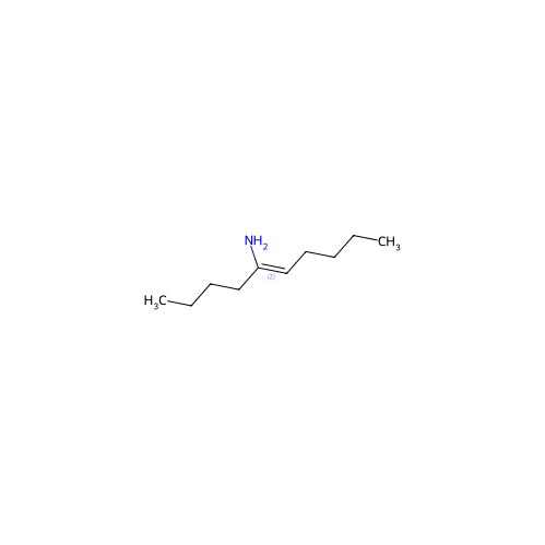 CCCC/C=C(\N)CCCC